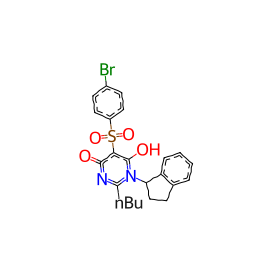 CCCCc1nc(=O)c(S(=O)(=O)c2ccc(Br)cc2)c(O)n1C1CCc2ccccc21